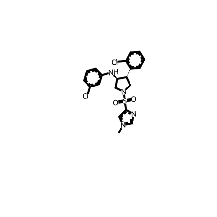 Cn1cnc(S(=O)(=O)N2C[C@@H](Nc3cccc(Cl)c3)[C@H](c3ccccc3Cl)C2)c1